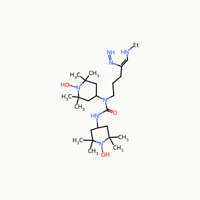 CCN/C=C(/CCCN(C(=O)NC1CC(C)(C)N(O)C(C)(C)C1)C1CC(C)(C)N(O)C(C)(C)C1)N=N